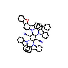 N#Cc1c(-n2c3ccccc3c3ccccc32)c(-n2c3ccccc3c3ccccc32)c(C#N)c(-n2c3cc(-c4ccccc4)ccc3c3c4oc5ccccc5c4ccc32)c1-n1c2ccccc2c2ccccc21